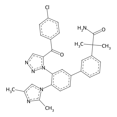 Cc1cn(-c2ccc(-c3cccc(C(C)(C)C(N)=O)c3)cc2-n2nncc2C(=O)c2ccc(Cl)cc2)c(C)n1